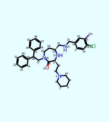 O=C1[C@H](CCN2CCCCC2)N[C@H](CNCc2ccc(Cl)c(I)c2)CCN1CC(c1ccccc1)c1ccccc1